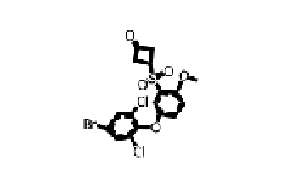 COc1ccc(Oc2c(Cl)cc(Br)cc2Cl)cc1S(=O)(=O)C1CC(=O)C1